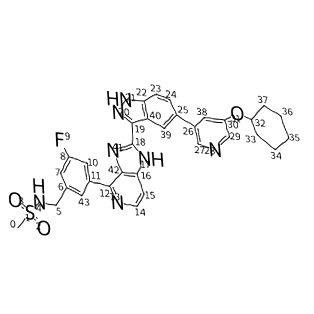 CS(=O)(=O)NCc1cc(F)cc(-c2nccc3[nH]c(-c4n[nH]c5ccc(-c6cncc(OC7CCCCC7)c6)cc45)nc23)c1